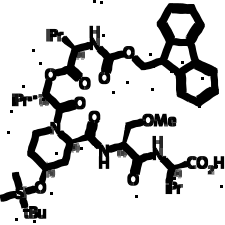 COC[C@H](NC(=O)[C@H]1C[C@@H](O[Si](C)(C)C(C)(C)C)CCN1C(=O)[C@@H](OC(=O)[C@H](NC(=O)OCC1c2ccccc2-c2ccccc21)C(C)C)C(C)C)C(=O)N[C@@H](C(=O)O)C(C)C